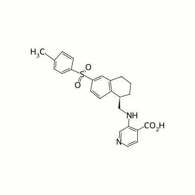 Cc1ccc(S(=O)(=O)c2ccc3c(c2)CCC[C@H]3CNc2cnccc2C(=O)O)cc1